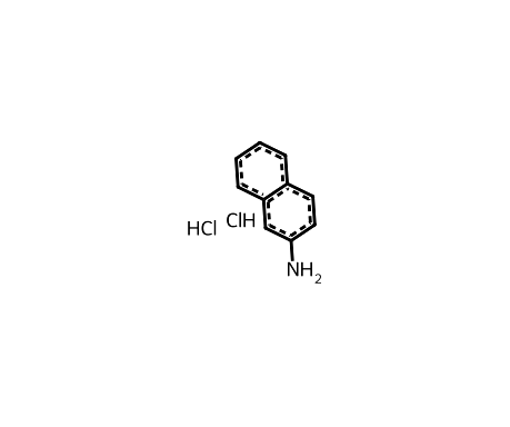 Cl.Cl.Nc1ccc2ccccc2c1